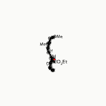 CCOC(=O)COc1cc(OCc2cccc(-c3ccccc3)c2C)c(Cl)cc1CN1CCCCC1C(=O)NCCCCC(=O)NCc1ccc(COc2ccc(/C=C/C(=O)c3ccc(OC)cc3)cc2OC)cc1